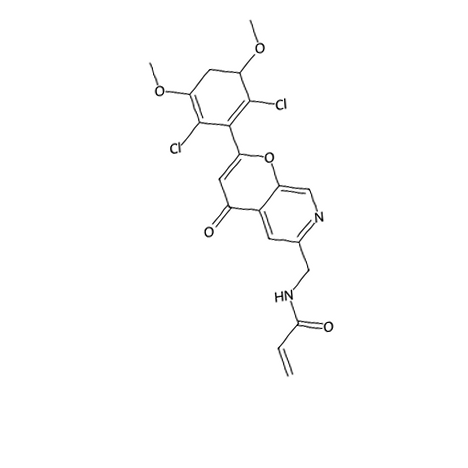 C=CC(=O)NCc1cc2c(=O)cc(C3=C(Cl)C(OC)CC(OC)=C3Cl)oc2cn1